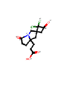 O=C(O)CCC12CCC(=O)N1CC1(CC(=O)C1(Cl)Cl)C2